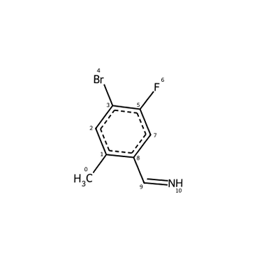 Cc1cc(Br)c(F)cc1C=N